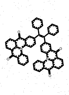 O=c1c2ccccc2n2c3ccc(/C(=C(/c4ccccc4)c4ccc5c(c4)c(=O)c4cccc6c(=O)c7ccccc7n5c64)c4ccccc4)cc3c(=O)c3cccc1c32